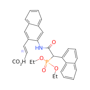 CCOP(=O)(OCC)C(C(=O)Nc1cc2ccccc2cc1/C=C/C(=O)O)c1cccc2ccccc12